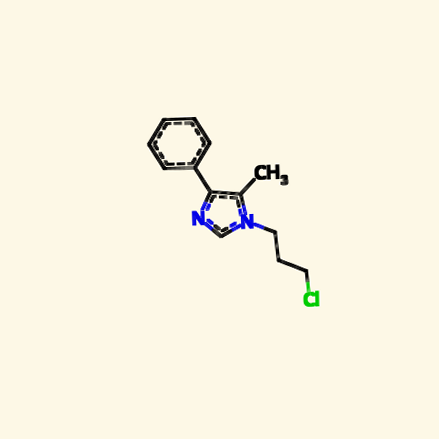 Cc1c(-c2ccccc2)ncn1CCCCl